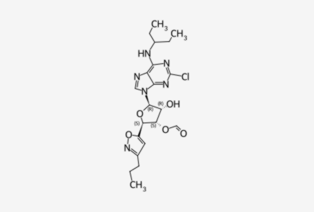 CCCc1cc([C@H]2O[C@@H](n3cnc4c(NC(CC)CC)nc(Cl)nc43)[C@H](O)[C@@H]2OC=O)on1